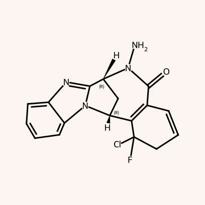 NN1C(=O)C2=C([C@H]3C[C@@H]1c1nc4ccccc4n13)C(F)(Cl)CC=C2